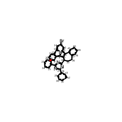 Brc1cc2c3c(c4c5ccccc5c(c1)n24)C(c1nc(-c2ccccc2)nc(-c2ccccc2)n1)CCc1ccccc1-3